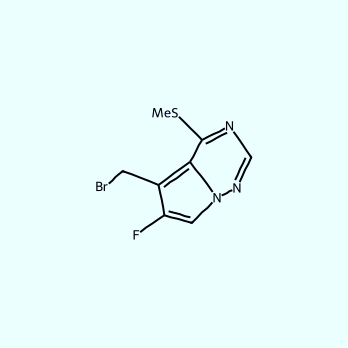 CSc1ncnn2cc(F)c(CBr)c12